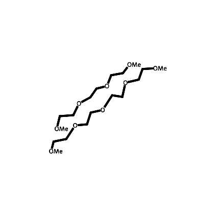 COCCOCCOCCOC.COCCOCCOCCOCCOC